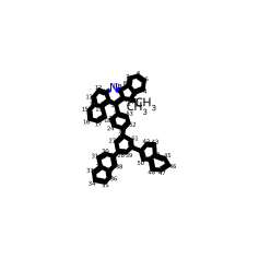 CC1(C)c2ccccc2-c2nc3ccc4ccccc4c3c(-c3ccc(-c4cc(-c5ccc6ccccc6c5)cc(-c5ccc6ccccc6c5)c4)cc3)c21